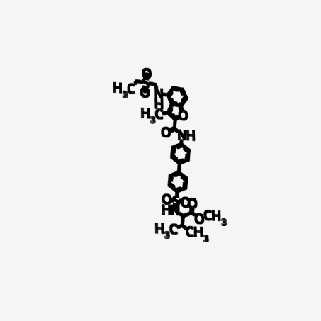 CCS(=O)(=O)CNc1cccc2oc(C(=O)Nc3ccc(-c4ccc(S(=O)(=O)NC(C(=O)OC)C(C)C)cc4)cc3)c(C)c12